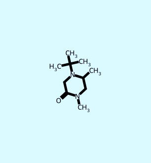 CC1CN(C)C(=O)CN1C(C)(C)C